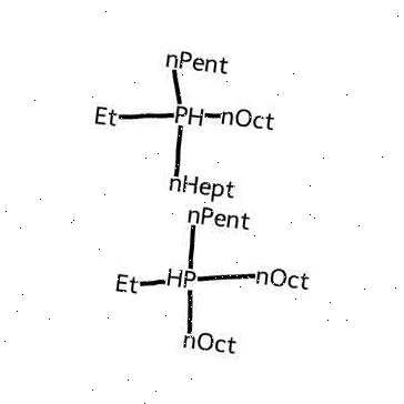 CCCCCCCC[PH](CC)(CCCCC)CCCCCCC.CCCCCCCC[PH](CC)(CCCCC)CCCCCCCC